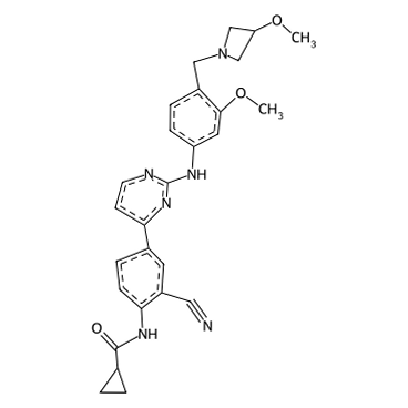 COc1cc(Nc2nccc(-c3ccc(NC(=O)C4CC4)c(C#N)c3)n2)ccc1CN1CC(OC)C1